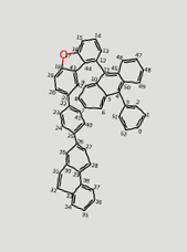 c1ccc(-c2c3ccccc3c(-c3cccc4oc5ccc(-c6ccc(-c7ccc8c(ccc9ccccc98)c7)cc6)cc5c34)c3ccccc23)cc1